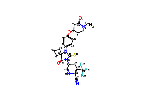 CN1CCC(Oc2ccc(N3C(=S)N(c4cnc(C#N)c(C(F)(F)F)c4)C(=O)C34CCC4)cc2)CC1=O